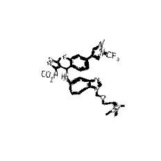 Cc1onc(C(=O)O)c1C(Nc1ccc2c(c1)ncn2COCC[Si](C)(C)C)c1ccc(-c2cnn(C(F)(F)F)c2)cc1F